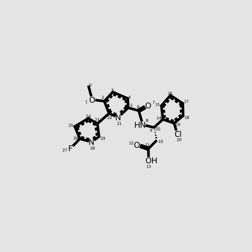 COc1ccc(C(=O)N[C@@H](CC(=O)O)c2ccccc2Cl)nc1-c1ccc(F)nc1